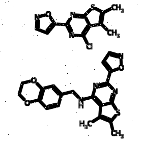 Cc1sc2nc(-c3ccno3)nc(Cl)c2c1C.Cc1sc2nc(-c3ccno3)nc(NCc3ccc4c(c3)OCCO4)c2c1C